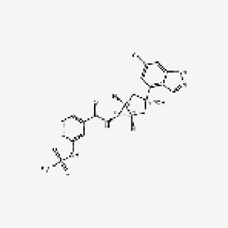 CS(=O)(=O)Nc1cccc(C(=O)N[C@H]2[C@@H]3C[C@@](O)(c4cc(Cl)cc5[nH]ncc45)C[C@@H]32)c1